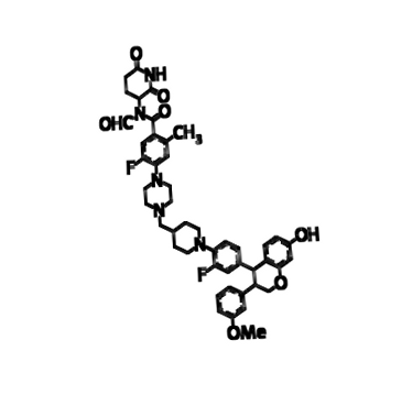 COc1cccc(C2COc3cc(O)ccc3C2c2ccc(N3CCC(CN4CCN(c5cc(C)c(C(=O)N(C=O)C6CCC(=O)NC6=O)cc5F)CC4)CC3)c(F)c2)c1